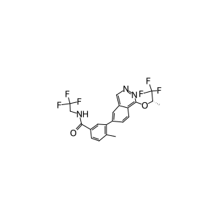 Cc1ccc(C(=O)NCC(F)(F)F)cc1-c1ccc2c(O[C@@H](C)C(F)(F)F)nncc2c1